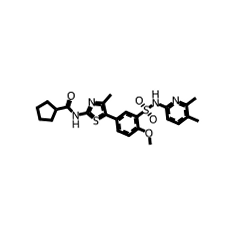 COc1ccc(-c2sc(NC(=O)C3CCCC3)nc2C)cc1S(=O)(=O)Nc1ccc(C)c(C)n1